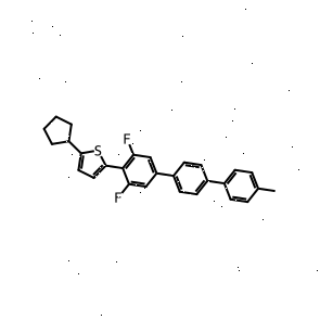 Cc1ccc(-c2ccc(-c3cc(F)c(-c4ccc(C5CCCC5)s4)c(F)c3)cc2)cc1